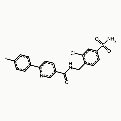 NS(=O)(=O)c1ccc(CNC(=O)c2ccc(-c3ccc(F)cc3)nc2)c(Cl)c1